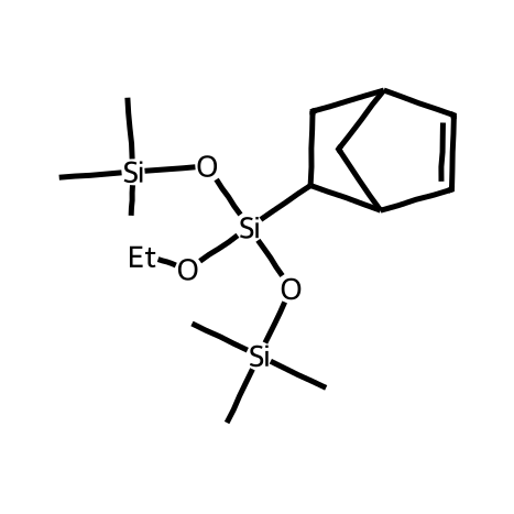 CCO[Si](O[Si](C)(C)C)(O[Si](C)(C)C)C1CC2C=CC1C2